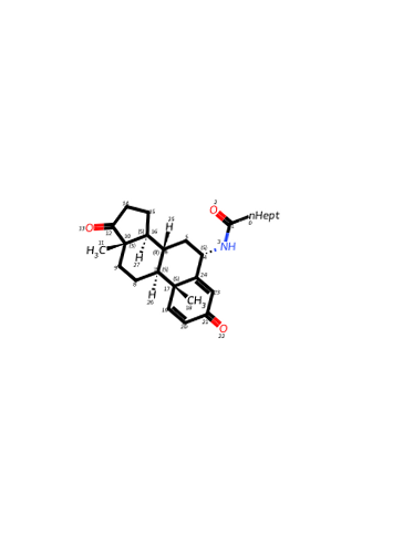 CCCCCCCC(=O)N[C@H]1C[C@@H]2[C@H](CC[C@]3(C)C(=O)CC[C@@H]23)[C@@]2(C)C=CC(=O)C=C12